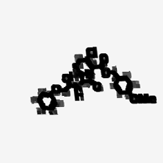 COc1ccc(COC(=O)C2=C(Cl)CS[C@H]3C(NC(=O)COc4ccccc4)C(=O)N23)cc1